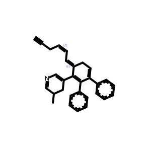 C#CC/C=C\C=C1/CC=C(c2ccccc2)C(c2ccccc2)=C1C1=CN=CC(C)C1